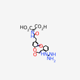 N=C(N)NC1=C2/C=C/C(=O)OC3C=CC(CCC(=O)N[C@@H](CC(=O)O)C(=O)O)=C/C3=C\OC2CC=C1